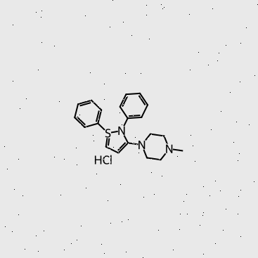 CN1CCN(C2=CC=S(c3ccccc3)N2c2ccccc2)CC1.Cl